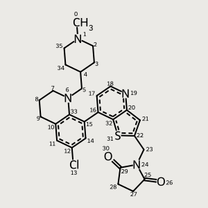 CN1CCC(CN2CCCc3cc(Cl)cc(-c4ccnc5cc(CN6C(=O)CCC6=O)sc45)c32)CC1